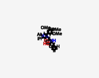 COc1cc(C2=CN(C(C)=O)C(C(C)C)C(=O)N2CC(=O)N[C@@H](Cc2ccccc2)C(O)C(=O)O)cc(OC)c1OC